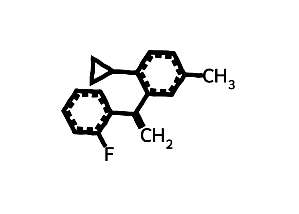 C=C(c1ccccc1F)c1cc(C)ccc1C1CC1